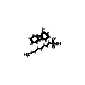 CCCCCCCCS(=O)(=O)O.Ic1cccc2c1-c1ccccc1-2